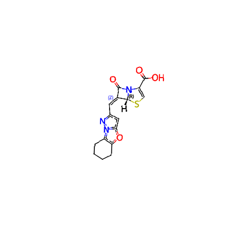 O=C(O)C1=CS[C@@H]2/C(=C\c3cc4oc5c(n4n3)CCCC5)C(=O)N12